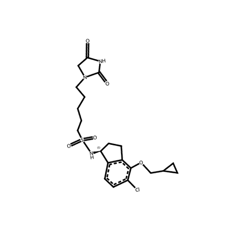 O=C1CN(CCCCCS(=O)(=O)N[C@H]2CCc3c2ccc(Cl)c3OCC2CC2)C(=O)N1